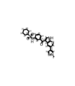 Cn1cc(-c2cnc3[nH]cc(C(=O)c4cccc(NS(=O)(=O)C5CCCCC5)c4)c3c2)cn1